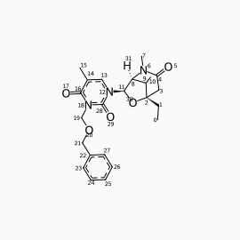 CC[C@]12CC(=O)N(C)[C@@H](C1C)[C@H](n1cc(C)c(=O)n(COCc3ccccc3)c1=O)O2